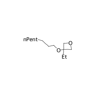 CCCCCCCCOC1(CC)COC1